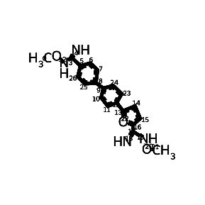 CONC(=N)c1ccc(-c2ccc(-c3ccc(C(=N)NOC)o3)cc2)cc1